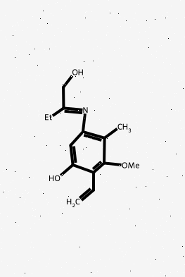 C=Cc1c(O)cc(/N=C(\CC)CO)c(C)c1OC